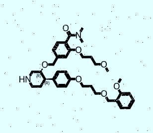 COCCCOc1cc(CO[C@H]2CNCC[C@@H]2c2ccc(OCCCOCc3ccccc3OC)cc2)ccc1C(=O)N(C)C